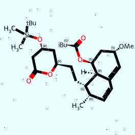 CC[C@H](C)C(=O)O[C@H]1C[C@H](OC)C=C2C=C[C@H](C)[C@H](CC[C@@H]3C[C@@H](O[Si](C)(C)C(C)(C)C)CC(=O)O3)[C@H]21